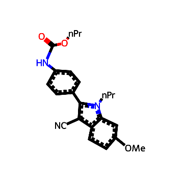 CCCOC(=O)Nc1ccc(-c2c(C#N)c3ccc(OC)cc3n2CCC)cc1